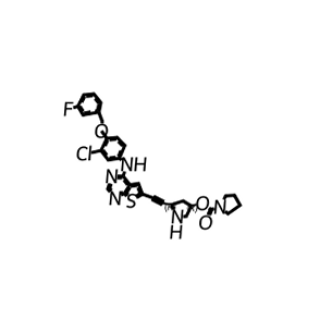 O=C(O[C@H]1CN[C@@H](C#Cc2cc3c(Nc4ccc(OCc5cccc(F)c5)c(Cl)c4)ncnc3s2)C1)N1CCCC1